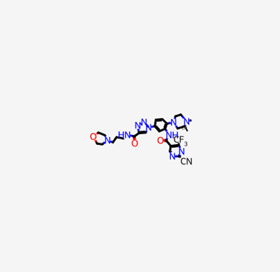 C[C@H]1CN(c2ccc(-n3cc(C(=O)NCCCN4CCOCC4)nn3)cc2NC(=O)c2cnc(C#N)nc2C(F)(F)F)CCN1C